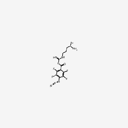 CC(=O)C(N)CCCNC(=N)OC(=O)c1c(F)c(F)c(N=[N+]=[N-])c(F)c1F